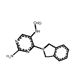 Nc1ncc(NC=O)c(N2Cc3ccccc3C2)n1